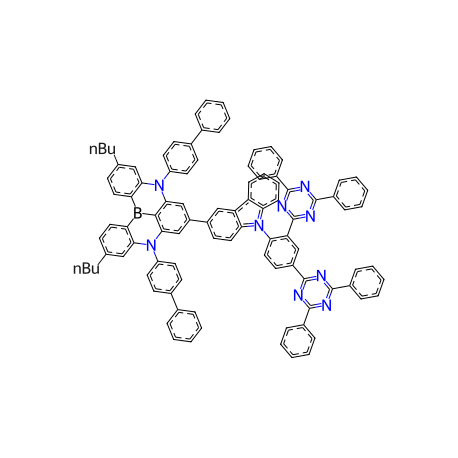 CCCCc1ccc2c(c1)N(c1ccc(-c3ccccc3)cc1)c1cc(-c3ccc4c(c3)c3ccccc3n4-c3ccc(-c4nc(-c5ccccc5)nc(-c5ccccc5)n4)cc3-c3nc(-c4ccccc4)nc(-c4ccccc4)n3)cc3c1B2c1ccc(CCCC)cc1N3c1ccc(-c2ccccc2)cc1